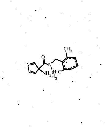 Cc1cccc(C)c1CN(C)C(=O)C1(N)C=NN=C1